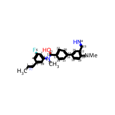 C/C=C/c1cc(F)cc(N(C)C(O)c2ccc(-c3ccc(NC)c(C=N)c3)cc2)c1